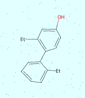 CCc1ccccc1-c1ccc(O)cc1CC